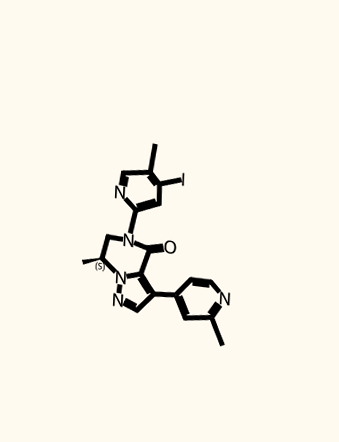 Cc1cc(-c2cnn3c2C(=O)N(c2cc(I)c(C)cn2)C[C@@H]3C)ccn1